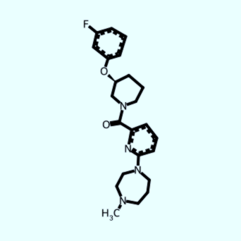 CN1CCCN(c2cccc(C(=O)N3CCC[C@H](Oc4cccc(F)c4)C3)n2)CC1